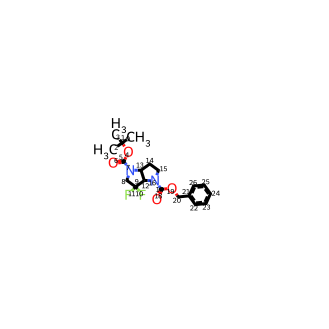 CC(C)(C)OC(=O)N1CC(F)(F)C2C1CCN2C(=O)OCc1ccccc1